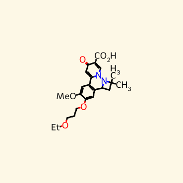 CCOCCCOc1cc2c(cc1OC)-c1cc(=O)c(C(=O)O)cn1N1C2CC1(C)C